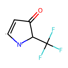 O=C1C=[C][N]C1C(F)(F)F